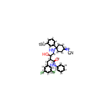 CC(C)(C)c1cccc(C2(NCC(O)C(Cc3cc(F)cc(F)c3)C(=O)Nc3ccccc3)CCC(=NC#N)CC2)c1